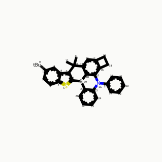 CC(C)(C)c1ccc2sc3c(c2c1)C(C)(C)c1cc2c(c4c1B3c1ccccc1N4c1ccccc1)CC2